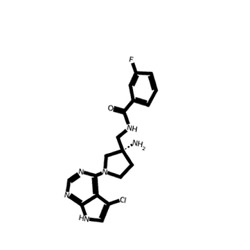 N[C@]1(CNC(=O)c2cccc(F)c2)CCN(c2ncnc3[nH]cc(Cl)c23)C1